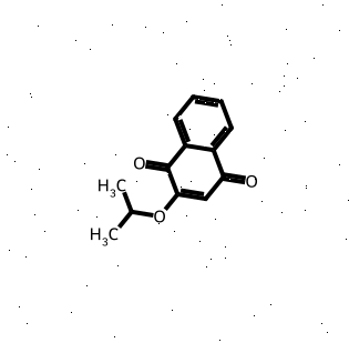 CC(C)OC1=CC(=O)c2ccccc2C1=O